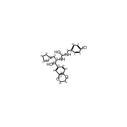 O[C@@H](NCc1ccc(Cl)cc1)N[C@H](CN1CCCC1)[C@H](O)c1ccc2c(c1)OCCO2